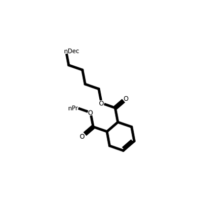 CCCCCCCCCCCCCCOC(=O)C1CC=CCC1C(=O)OCCC